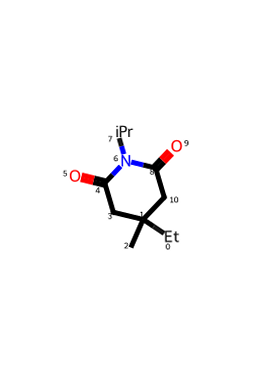 CCC1(C)CC(=O)N(C(C)C)C(=O)C1